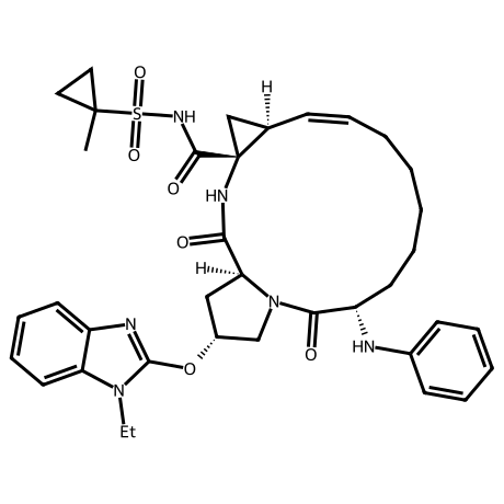 CCn1c(O[C@@H]2C[C@H]3C(=O)N[C@]4(C(=O)NS(=O)(=O)C5(C)CC5)C[C@H]4/C=C\CCCCC[C@H](Nc4ccccc4)C(=O)N3C2)nc2ccccc21